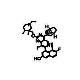 C#Cc1c(F)ccc2cc(O)cc(-c3ncc4c(N5C[C@H]6CC[C@@H](C5)N6)nc(OC[C@@]5(C)CN(CC)CC[C@@H]5C)nc4c3F)c12